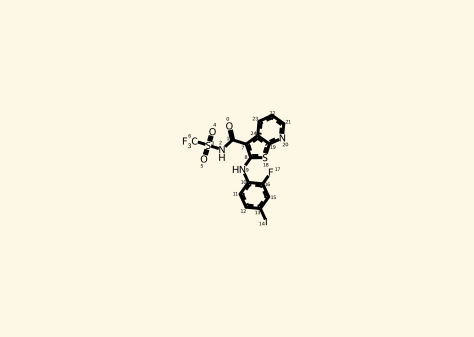 O=C(NS(=O)(=O)C(F)(F)F)c1c(Nc2ccc(I)cc2F)sc2ncccc12